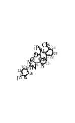 CC(C)n1c(=O)c2c(-c3nc(-c4ccc(F)cc4)no3)ncn2c2cccc(Cl)c21